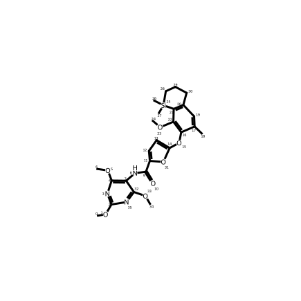 COc1nc(OC)c(NC(=O)c2ccc(Oc3c(C)cc4c(c3OC)[Si](C)(C)CCC4)o2)c(OC)n1